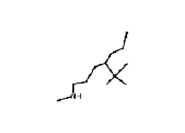 CCCC(CCCNC)C(C)(C)C